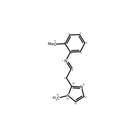 COc1ccccc1N=CCc1nccn1C